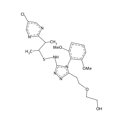 COc1cccc(OC)c1-n1c(CCOCCO)nnc1NSC(C)C(C)c1ncc(Cl)cn1